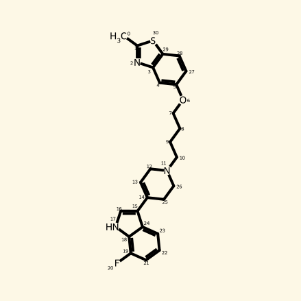 Cc1nc2cc(OCCCCN3CC=C(c4c[nH]c5c(F)cccc45)CC3)ccc2s1